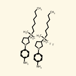 CCCCCCC[N+](C)(C)C1CCN(c2ccc(N)cc2)C1.CCCCCCC[N+](C)(C)C1CCN(c2ccc(N)cc2)C1.[I-].[I-]